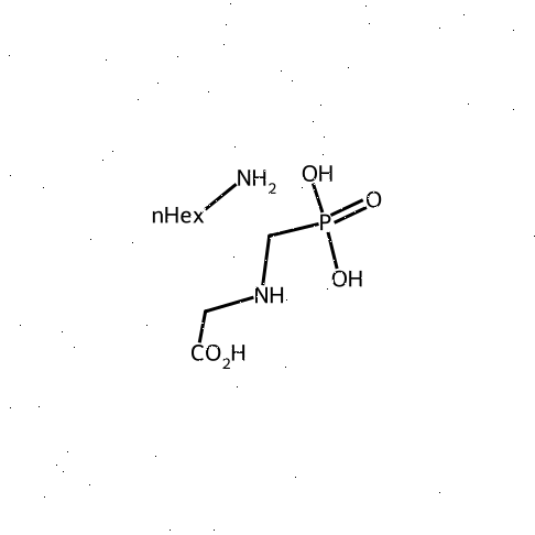 CCCCCCN.O=C(O)CNCP(=O)(O)O